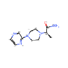 C[C@H](C(N)=O)N1CCN(c2cnccn2)CC1